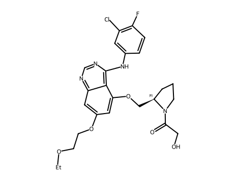 CCOCCOc1cc(OC[C@H]2CCCN2C(=O)CO)c2c(Nc3ccc(F)c(Cl)c3)ncnc2c1